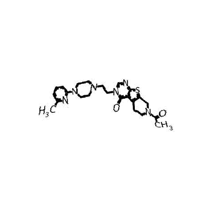 CC(=O)N1CCc2c(sc3ncn(CCN4CCN(c5cccc(C)n5)CC4)c(=O)c23)C1